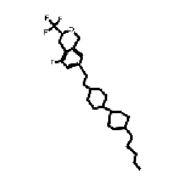 CCCCCC1CCC(C2CCC(CCc3cc(F)c4c(c3)COC(C(F)(F)F)C4)CC2)CC1